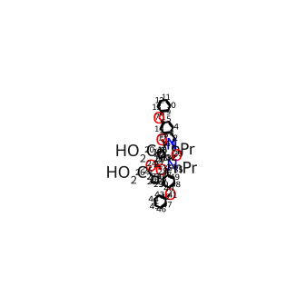 CCCN(Cc1ccc(Oc2ccccc2)cc1)C(=O)[C@@H]1[C@H](C(=O)O)[C@@H](C(=O)OC(C(=O)O)C2CCC2)[C@H]1C(=O)N(CCC)Cc1ccc(Oc2ccccc2)cc1